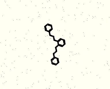 c1ccc(CCCc2ccccc2CCCc2ccccc2)cc1